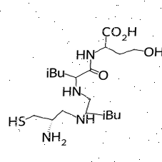 CCC(C)C(CNC(C(=O)NC(CCO)C(=O)O)C(C)CC)NC[C@H](N)CS